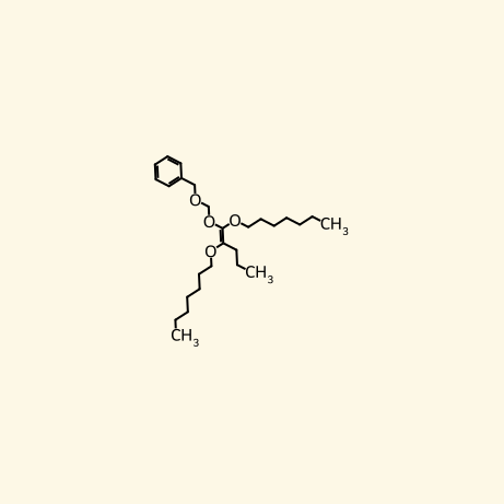 CCCCCCCOC(CCC)=C(OCCCCCCC)OCOCc1ccccc1